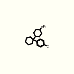 CCCC1CCC(C2(c3ccc(Cl)cc3)CCCCC2)CC1